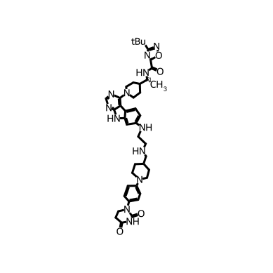 C[C@@H](NC(=O)c1nc(C(C)(C)C)no1)C1CCN(c2ncnc3[nH]c4cc(NCCNCC5CCN(c6ccc(N7CCC(=O)NC7=O)cc6)CC5)ccc4c23)CC1